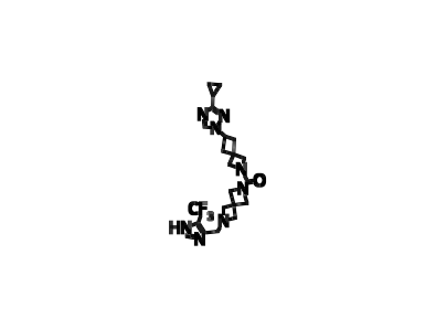 O=C(N1CC2(CC(n3cnc(C4CC4)n3)C2)C1)N1CC2(CN(Cc3nc[nH]c3C(F)(F)F)C2)C1